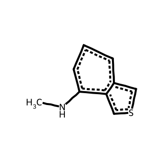 CNc1cccc2cscc12